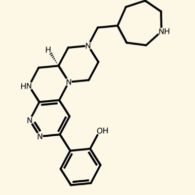 Oc1ccccc1-c1cc2c(nn1)NC[C@H]1CN(CC3CCCNCC3)CCN21